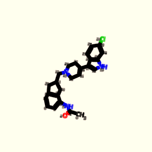 CC(=O)Nc1cccc2c1CC(CN1CC=C(c3c[nH]c4cc(Cl)ccc34)CC1)C2